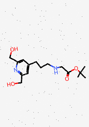 CC(C)(C)OC(=O)CNCCCc1cc(CO)nc(CO)c1